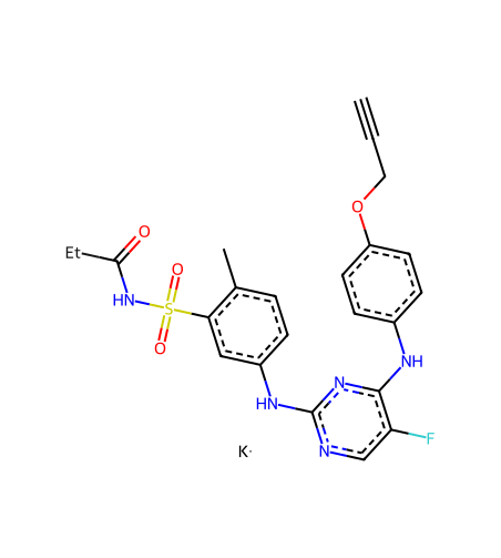 C#CCOc1ccc(Nc2nc(Nc3ccc(C)c(S(=O)(=O)NC(=O)CC)c3)ncc2F)cc1.[K]